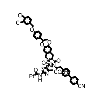 CCC(=O)Nc1nc(C)c(S(=O)(=O)N2Cc3cc4c(cc3C[C@H]2C(=O)N[C@@H](Cc2ccc(-c3ccc(C#N)cc3)cc2)C(=O)O)OCC(c2ccc(OCc3ccc(Cl)c(Cl)c3)cc2)O4)s1